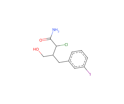 NC(=O)C(Cl)C(CO)Cc1cccc(I)c1